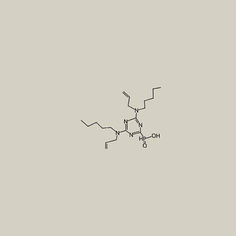 C=CCN(CCCCC)c1nc(N(CC=C)CCCCC)nc([PH](=O)O)n1